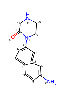 Nc1ccc2ccc(N3CCNCC3=O)cc2c1